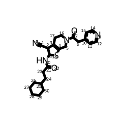 N#CC1C2=C(CN(C(=O)Cc3ccncc3)CC2)SC1NC(=O)CCC1CCCCC1